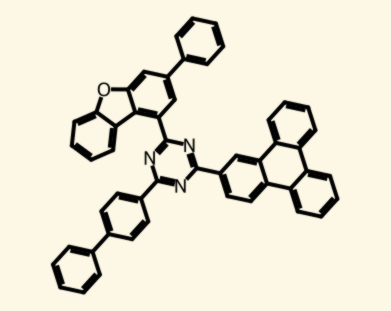 c1ccc(-c2ccc(-c3nc(-c4ccc5c6ccccc6c6ccccc6c5c4)nc(-c4cc(-c5ccccc5)cc5oc6ccccc6c45)n3)cc2)cc1